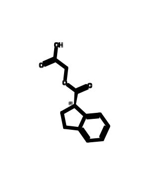 O=C(O)COC(=O)[C@@H]1CCc2ccccc21